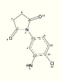 [NH]c1cc(N2C(=O)CCC2=O)ccc1Cl